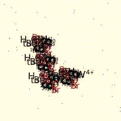 CC(C)(C)[Si](C)(C)Oc1c(Br)cc2c(c1-c1c([O-])c(Br)cc3c1CCCC3)CCCC2.CC(C)(C)[Si](C)(C)Oc1c(Br)cc2c(c1-c1c([O-])c(Br)cc3c1CCCC3)CCCC2.CC(C)(C)[Si](C)(C)Oc1c(Br)cc2c(c1-c1c([O-])c(Br)cc3c1CCCC3)CCCC2.CC(C)(C)[Si](C)(C)Oc1c(Br)cc2c(c1-c1c([O-])c(Br)cc3c1CCCC3)CCCC2.[W+4]